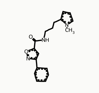 Cn1cccc1CCCNC(=O)c1cc(-c2ccccc2)no1